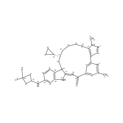 Cc1cc2cc(n1)-c1cnn(C)c1OCCC[C@@H](C1CC1)CN1/C(=N/C2=O)Nc2cc(NC3CC(F)(F)C3)ccc21